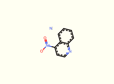 O=[N+]([O-])c1ccnc2ccccc12.[N]